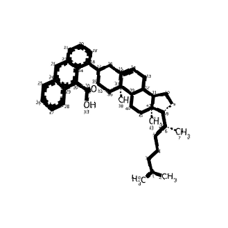 CC(C)CCC[C@@H](C)[C@H]1CCC2C3CC=C4CC(c5cccc6cc7ccccc7c(C(=O)O)c56)CC[C@]4(C)C3CC[C@@]21C